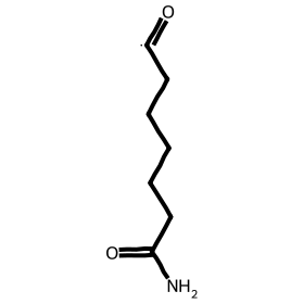 NC(=O)CCCCC[C]=O